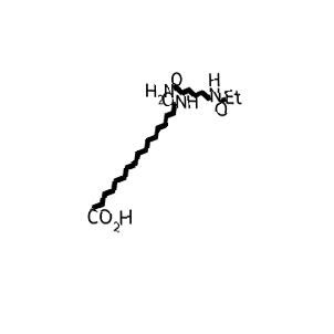 CCC(=O)NCCCCC(NC(=O)CCCCCCCCCCCCCCCCC(=O)O)C(N)=O